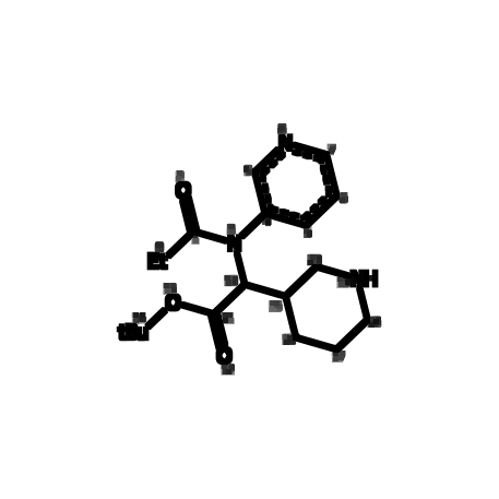 CCC(=O)N(c1cccnc1)C(C(=O)OC(C)(C)C)C1CCCNC1